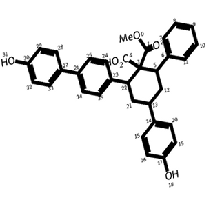 COC(=O)C1(C(=O)O)C(c2ccccc2)CC(c2ccc(O)cc2)CC1c1ccc(-c2ccc(O)cc2)cc1